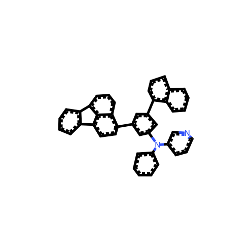 c1ccc(N(c2cccnc2)c2cc(-c3cccc4ccccc34)cc(-c3ccc4c5c(cccc35)-c3ccccc3-4)c2)cc1